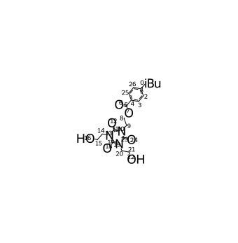 CCC(C)c1ccc(C(=O)OCCn2c(=O)n(CCO)c(=O)n(CCO)c2=O)cc1